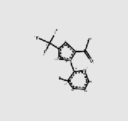 CC(=O)c1cc(C(F)(F)F)nn1-c1ncccc1C